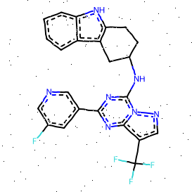 Fc1cncc(-c2nc(NC3CCc4[nH]c5ccccc5c4C3)n3ncc(C(F)(F)F)c3n2)c1